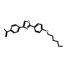 C=C(C)c1ccc(-c2coc(-c3ccc(OCCCCCC)cc3)n2)cc1